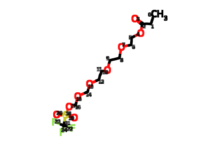 CCC(=O)OCCOCCOCCOCOCOS(=O)(=O)C(F)(F)F